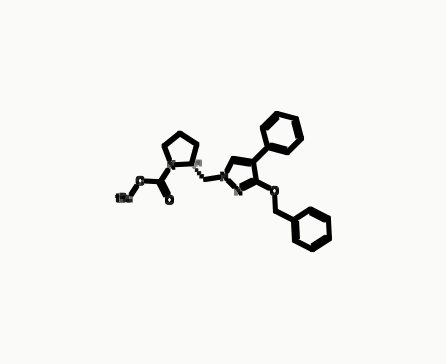 CC(C)(C)OC(=O)N1CCC[C@@H]1Cn1cc(-c2ccccc2)c(OCc2ccccc2)n1